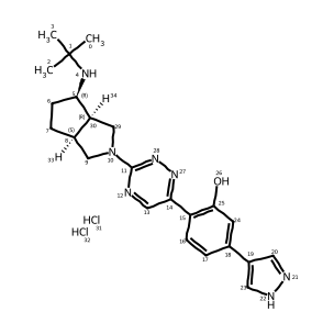 CC(C)(C)N[C@@H]1CC[C@@H]2CN(c3ncc(-c4ccc(-c5cn[nH]c5)cc4O)nn3)C[C@@H]21.Cl.Cl